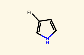 CCc1[c][nH]cc1